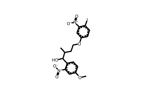 COc1ccc(C(O)C(C)CCOc2ccc(I)c([N+](=O)[O-])c2)c([N+](=O)[O-])c1